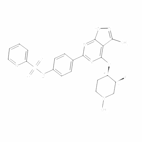 Cc1n[nH]c2nc(-c3ccc(NS(=O)(=O)c4ccccn4)cc3)nc(O[C@@H]3CCN(C)C[C@@H]3F)c12